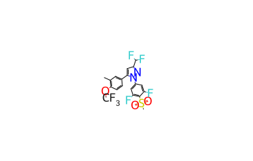 Cc1cc(-c2cc(C(F)F)nn2-c2cc(F)c(S(C)(=O)=O)c(F)c2)ccc1OC(F)(F)F